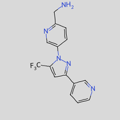 NCc1ccc(-n2nc(-c3cccnc3)cc2C(F)(F)F)cn1